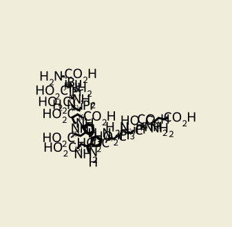 CC(C)C[C@H](N)C(=O)O.CC(C)C[C@H](N)C(=O)O.CC(C)C[C@H](N)C(=O)O.CC(C)[C@H](N)C(=O)O.CC[C@H](C)[C@H](N)C(=O)O.C[C@H](N)C(=O)O.NCC(=O)O.N[C@@H](CCC(=O)O)C(=O)O.N[C@@H](Cc1c[nH]c2ccccc12)C(=O)O.N[C@@H](Cc1ccccc1)C(=O)O.O=C(O)[C@@H]1CCCN1